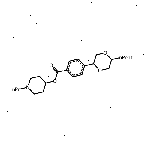 CCCCCC1COC(c2ccc(C(=O)OC3CCN(CCC)CC3)cc2)CO1